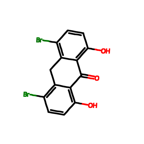 O=C1c2c(O)ccc(Br)c2Cc2c(Br)ccc(O)c21